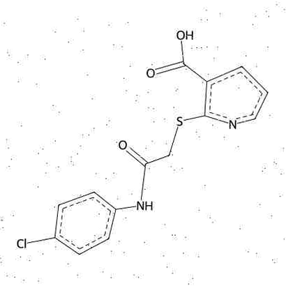 O=C(CSc1ncccc1C(=O)O)Nc1ccc(Cl)cc1